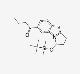 CCCC(=O)c1ccc2cc3n(c2c1)C(O[Si](C)(C)C(C)(C)C)CC3